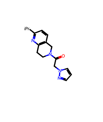 CC(C)c1ccc2c(n1)CCN(C(=O)Cn1cccn1)C2